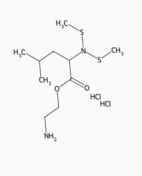 CSN(SC)C(CC(C)C)C(=O)OCCN.Cl.Cl